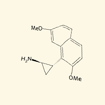 COc1ccc2ccc(OC)c([C@@H]3C[C@H]3N)c2c1